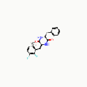 O=C1NC(Cc2ccccc2)C(=O)N/C1=C/c1c([N+](=O)[O-])ccc(F)c1F